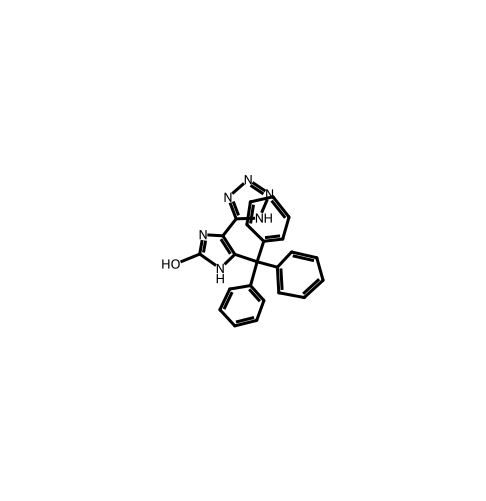 Oc1nc(-c2nnn[nH]2)c(C(c2ccccc2)(c2ccccc2)c2ccccc2)[nH]1